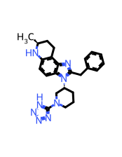 C[C@H]1CCc2c(ccc3c2nc(Cc2ccccc2)n3[C@@H]2CCCN(c3nnn[nH]3)C2)N1